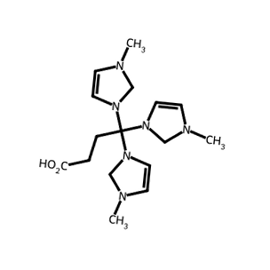 CN1C=CN(C(CCC(=O)O)(N2C=CN(C)C2)N2C=CN(C)C2)C1